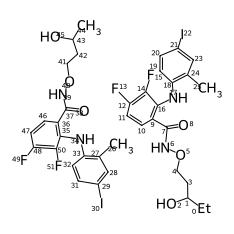 CCC(O)CCONC(=O)c1ccc(F)c(F)c1Nc1ccc(I)cc1C.Cc1cc(I)ccc1Nc1c(C(=O)NOCCC(C)O)ccc(F)c1F